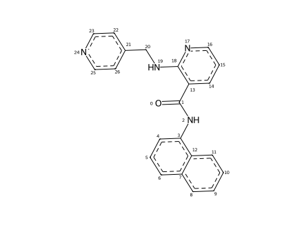 O=C(Nc1cccc2ccccc12)c1cccnc1NCc1ccncc1